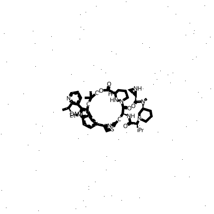 CCn1c(-c2cccnc2[C@H](C)OC)c2c3cc(ccc31)-c1csc(n1)C[C@H](NC(=O)[C@H](C(C)C)N1CCC[C@H](N(C)C(=O)[C@H]3CN3)C1)C(=O)N1CCC[C@H](N1)C(=O)OCC(C)(C)C2